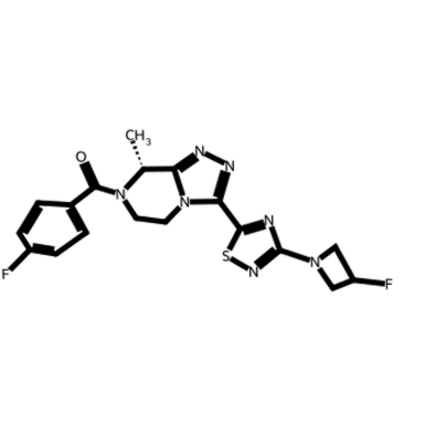 C[C@@H]1c2nnc(-c3nc(N4CC(F)C4)ns3)n2CCN1C(=O)c1ccc(F)cc1